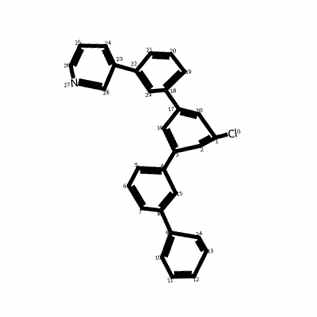 Clc1cc(-c2cccc(-c3ccccc3)c2)cc(-c2cccc(-c3cccnc3)c2)c1